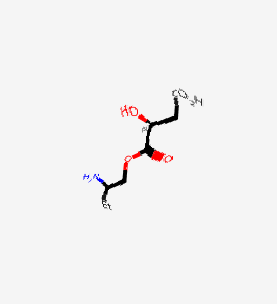 CCC(N)COC(=O)[C@@H](O)CC(=O)O